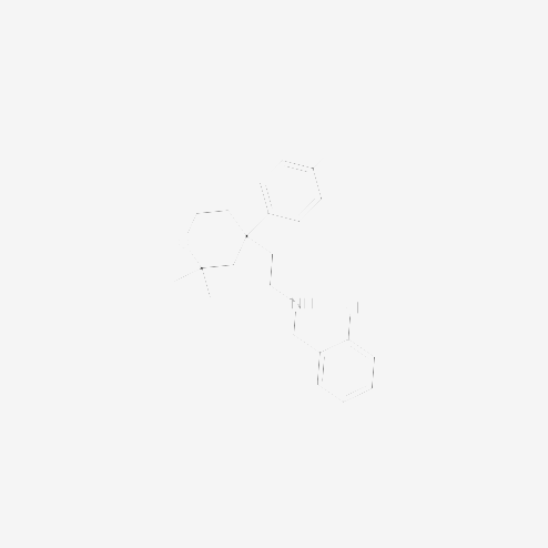 Cc1ccc(C2(CCNCc3ccccc3Cl)CCOC(C)(C)C2)cc1